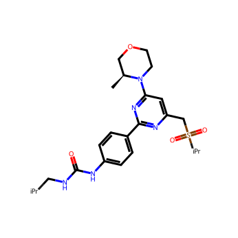 CC(C)CNC(=O)Nc1ccc(-c2nc(CS(=O)(=O)C(C)C)cc(N3CCOC[C@@H]3C)n2)cc1